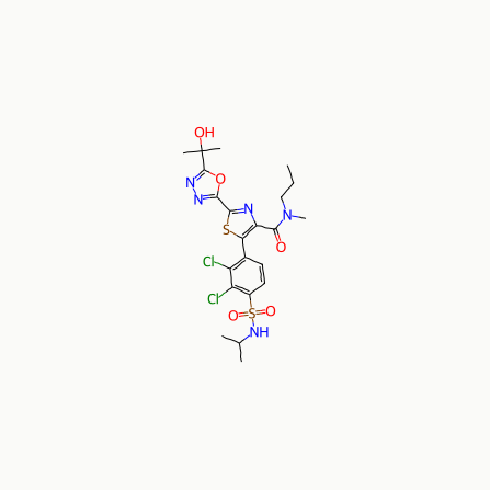 CCCN(C)C(=O)c1nc(-c2nnc(C(C)(C)O)o2)sc1-c1ccc(S(=O)(=O)NC(C)C)c(Cl)c1Cl